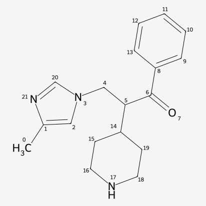 Cc1cn(CC(C(=O)c2ccccc2)C2CCNCC2)cn1